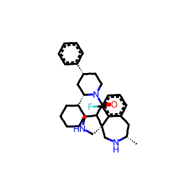 C[C@H]1Cc2cccc(F)c2[C@@]2(CNCC2C(=O)N2CC[C@@H](c3ccccc3)C[C@H]2C2CCCCC2)CN1